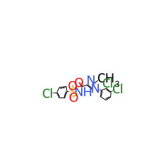 Cc1nc(C(=O)NS(=O)(=O)c2ccc(Cl)cc2)cn1-c1cccc(Cl)c1Cl